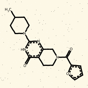 CC1CCN(c2nc3c(c(=O)[nH]2)CCN(C(=O)c2ccco2)C3)CC1